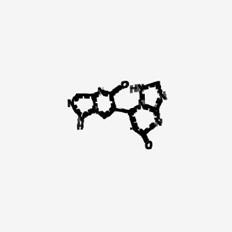 O=c1[c]c(-c2cn3[nH]ncc3nc2=O)n2[nH]cnc2n1